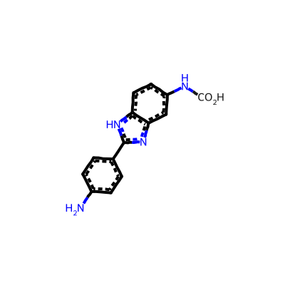 Nc1ccc(-c2nc3cc(NC(=O)O)ccc3[nH]2)cc1